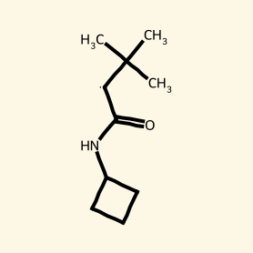 CC(C)(C)[CH]C(=O)NC1CCC1